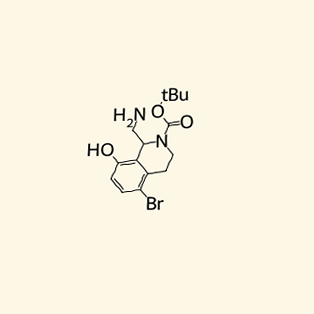 CC(C)(C)OC(=O)N1CCc2c(Br)ccc(O)c2C1CN